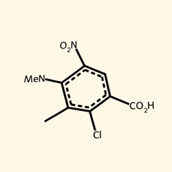 CNc1c([N+](=O)[O-])cc(C(=O)O)c(Cl)c1C